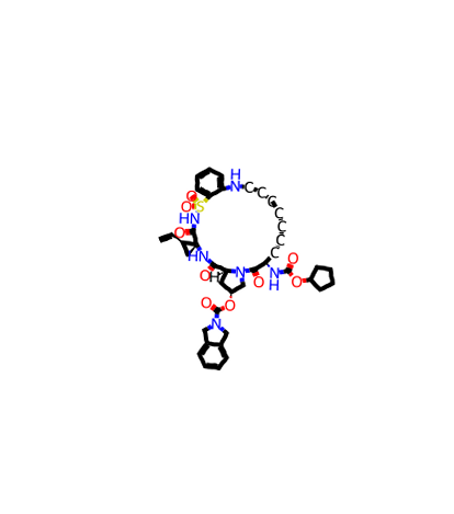 C=C[C@@H]1C[C@@]12NC(=O)[C@@H]1C[C@@H](OC(=O)N3Cc4ccccc4C3)CN1C(=O)[C@@H](NC(=O)OC1CCCC1)CCCCCCCNc1ccccc1S(=O)(=O)NC2=O